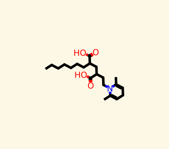 CCCCCCCC(CC(CCN1C(C)=CCC=C1C)C(=O)O)C(=O)O